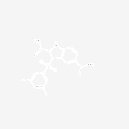 Cc1cc(C)cc(S(=O)(=O)C2c3cc(C(C)O)ccc3NC2C(N)=O)c1